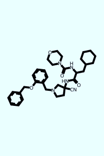 N#CC1(NC(=O)C(CC2CCCCC2)NC(=O)N2CCOCC2)CCN(Cc2ccccc2OCc2ccccc2)C1